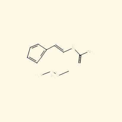 C[SiH2]O[SiH3].NC(=O)NC=Cc1ccccc1